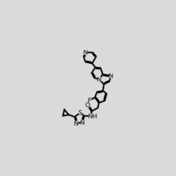 O=C(Cc1ccc(-c2cnc3cc(-c4ccncc4)ccn23)cc1F)Nc1nnc(C2CC2)s1